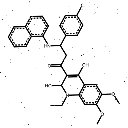 CCN1c2cc(OC)c(OC)cc2C(O)=C(C(=O)CC(Nc2cccc3ccccc23)c2ccc(Cl)cc2)C1O